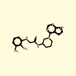 Cc1cccc(NCC(=O)NC2CCCN(c3ncnc4[nH]ccc34)C2)c1C